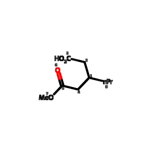 CCCC(CC(=O)O)CC(=O)OC